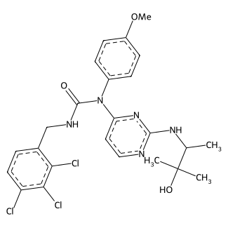 COc1ccc(N(C(=O)NCc2ccc(Cl)c(Cl)c2Cl)c2ccnc(NC(C)C(C)(C)O)n2)cc1